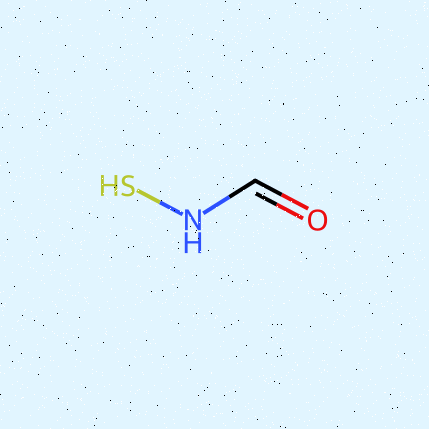 O=CNS